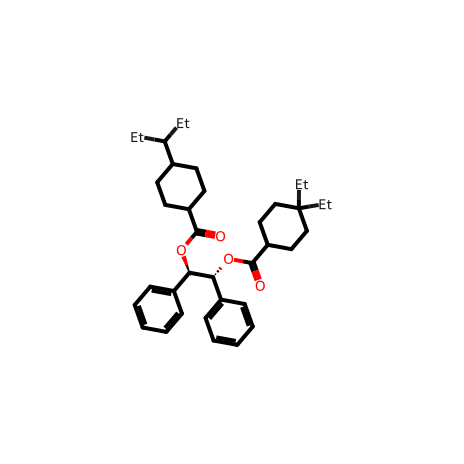 CCC(CC)C1CCC(C(=O)O[C@H](c2ccccc2)[C@H](OC(=O)C2CCC(CC)(CC)CC2)c2ccccc2)CC1